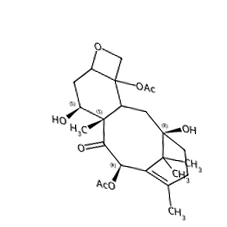 CC(=O)O[C@H]1C(=O)[C@@]2(C)C(C[C@]3(O)CCC(C)=C1C3(C)C)C1(OC(C)=O)COC1C[C@@H]2O